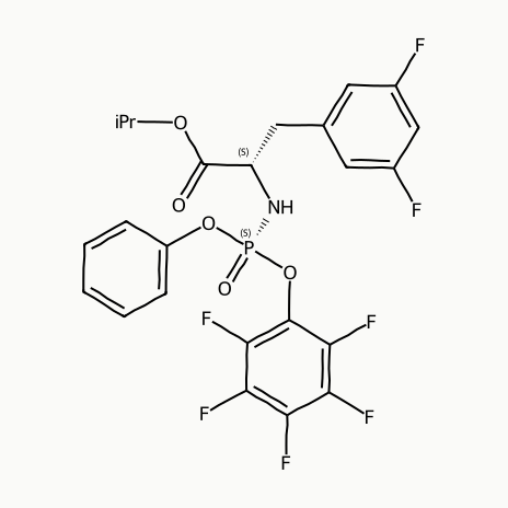 CC(C)OC(=O)[C@H](Cc1cc(F)cc(F)c1)N[P@](=O)(Oc1ccccc1)Oc1c(F)c(F)c(F)c(F)c1F